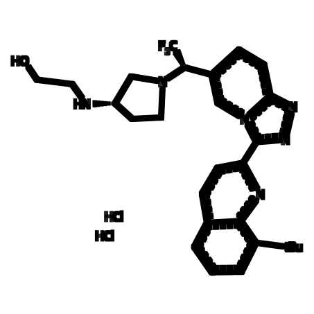 CC(C)(C)c1cccc2ccc(-c3nnc4ccc([C@@H](N5CC[C@H](NCCO)C5)C(F)(F)F)cn34)nc12.Cl.Cl